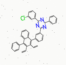 C=Cc1c(C=C)c(-c2cccc(-c3nc(-c4ccccc4)nc(-c4cccc(Cl)c4)n3)c2)c2ccccc2c1-c1ccccc1